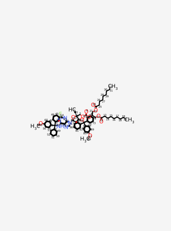 C#C[C@]1(COC(=O)OC(COC(=O)CCCCCCCC)COC(=O)CCCCCCCC)O[C@@H](n2cnc3c(NC(c4ccccc4)(c4ccccc4)c4ccc(OC)cc4)nc(F)nc32)C[C@@H]1OC(c1ccccc1)(c1ccccc1)c1ccc(OC)cc1